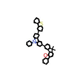 CC1(C)c2ccc(-c3ccc4c(c3)c3cc(-c5ccc6sc7ccccc7c6c5)ccc3n4-c3ccccc3)cc2-c2c1ccc1c2oc2ccccc21